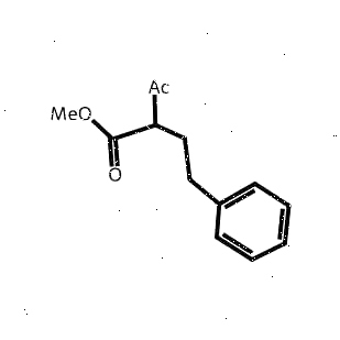 COC(=O)C(CCc1ccccc1)C(C)=O